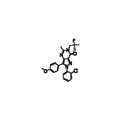 COc1ccc(-c2c3nc(C)n(CC(C)(F)F)c(=O)c3nn2-c2ccccc2Cl)cc1